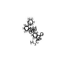 Cn1sc(=O)c2cc(S(=O)(=O)Nc3ccccc3N3CCCCC3)ccc21